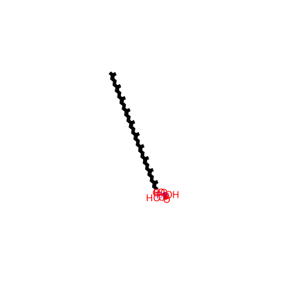 CC(C)=CCC/C(C)=C/CC/C(C)=C/CC/C(C)=C/CC/C(C)=C/CC/C(C)=C/CC/C(C)=C/CC/C(C)=C/CC/C(C)=C/CC/C(C)=C/COP(=O)(O)OP(=O)(O)O